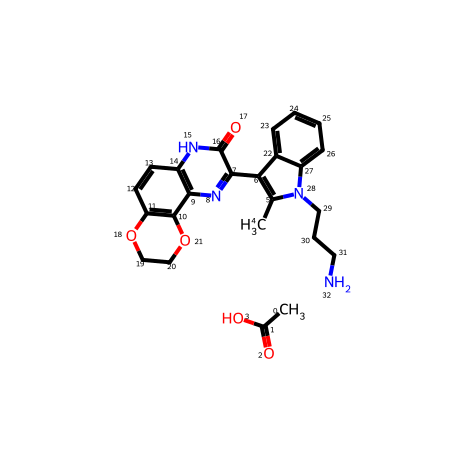 CC(=O)O.Cc1c(-c2nc3c4c(ccc3[nH]c2=O)OCCO4)c2ccccc2n1CCCN